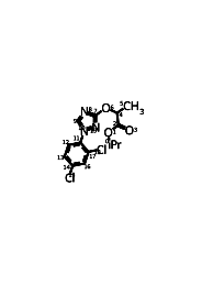 CC(C)OC(=O)C(C)Oc1ncn(-c2ccc(Cl)cc2Cl)n1